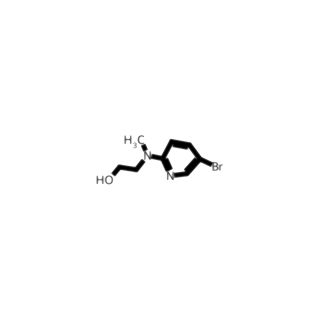 CN(CCO)c1ccc(Br)cn1